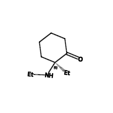 CCN[C@@]1(CC)CCCCC1=O